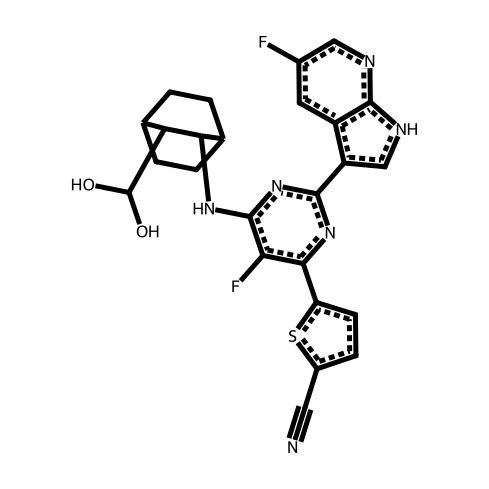 N#Cc1ccc(-c2nc(-c3c[nH]c4ncc(F)cc34)nc(NC3C4CCC(CC4)C3C(O)O)c2F)s1